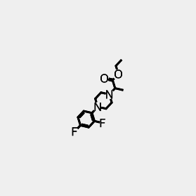 CCOC(=O)C(C)N1CCN(c2ccc(F)cc2F)CC1